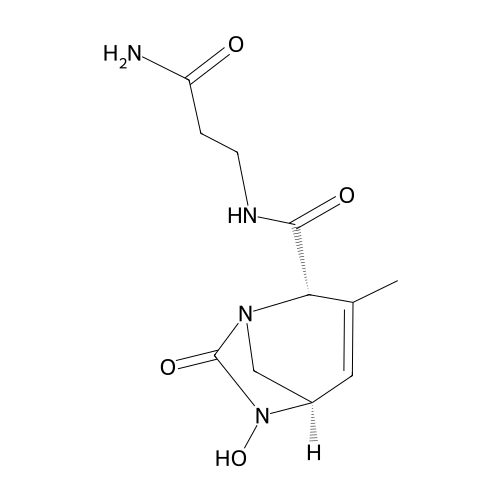 CC1=C[C@@H]2CN(C(=O)N2O)[C@@H]1C(=O)NCCC(N)=O